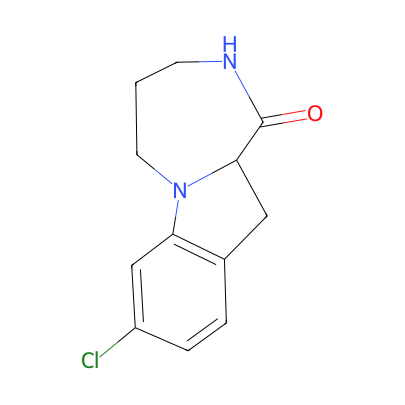 O=C1NCCCN2c3cc(Cl)ccc3CC12